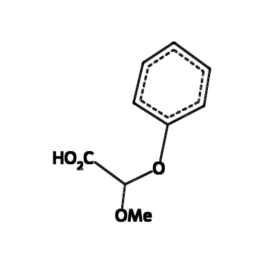 COC(Oc1ccccc1)C(=O)O